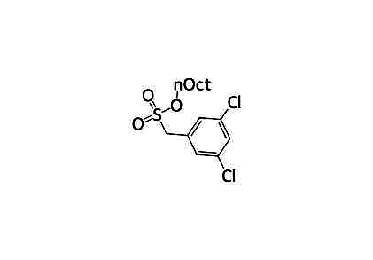 CCCCCCCCOS(=O)(=O)Cc1cc(Cl)cc(Cl)c1